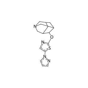 c1cnn(-c2cnc(OC3C4CC5CC3CN(C5)C4)s2)c1